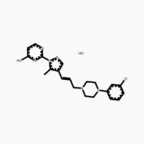 Cc1c(/C=C/CN2CCN(c3cccc(Cl)c3)CC2)cnn1-c1nccc(O)n1.Cl